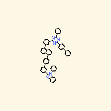 c1ccc(-c2ccc(-c3nc(-c4ccccc4)nc(-c4cccc(-c5cccc6c(-c7ccc(-c8cccc(-c9nc%10ccccc%10n9-c9ccccc9)c8)cc7)cccc56)c4)n3)cc2)cc1